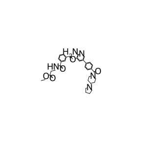 CCOC(=O)CCNC(=O)c1cccc(COc2cc(-c3ccc(C(=O)N4CCC(N5CCCC5)CC4)cc3)cnc2N)c1